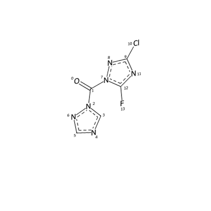 O=C(n1cncn1)n1nc(Cl)nc1F